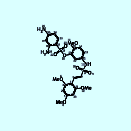 COc1cc(OC)c(/C=C/S(=O)(=O)Nc2ccc(OC)c(OS(=O)(=O)c3ccc(N)cc3N)c2)c(OC)c1